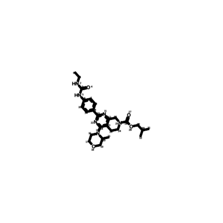 CCNC(=O)Nc1ccc(-c2nc3c(c(N4CCOCC4C)n2)CCN(C(=O)OCC(C)C)C3)cc1